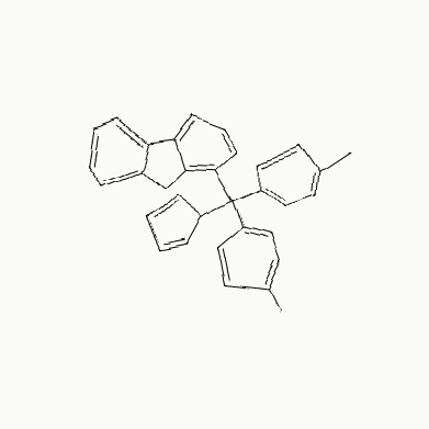 Cc1ccc(C(c2ccc(C)cc2)(c2cccc3c2Cc2ccccc2-3)C2C=CC=C2)cc1